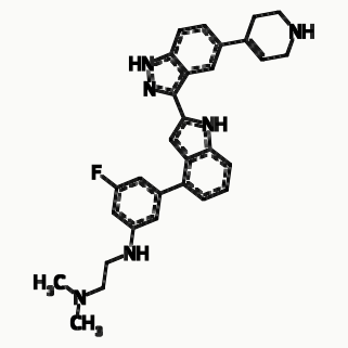 CN(C)CCNc1cc(F)cc(-c2cccc3[nH]c(-c4n[nH]c5ccc(C6=CCNCC6)cc45)cc23)c1